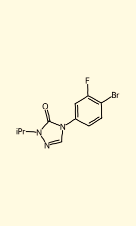 CC(C)n1ncn(-c2ccc(Br)c(F)c2)c1=O